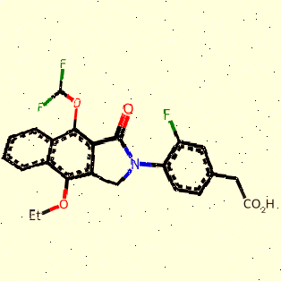 CCOc1c2c(c(OC(F)F)c3ccccc13)C(=O)N(c1ccc(CC(=O)O)cc1F)C2